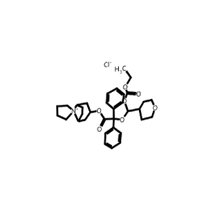 CCOC(=O)OC(OC(C(=O)OC1CC2CCC(C1)[N+]21CCCC1)(c1ccccc1)c1ccccc1)C1CCOCC1.[Cl-]